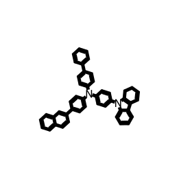 C1=Cc2c(n(-c3ccc(N(c4ccc(-c5ccccc5)cc4)c4ccc(-c5ccc6ccccc6c5)cc4)cc3)c3ccccc23)CC1